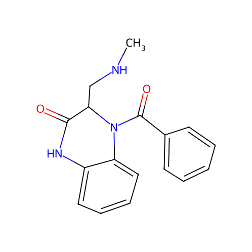 CNCC1C(=O)Nc2ccccc2N1C(=O)c1ccccc1